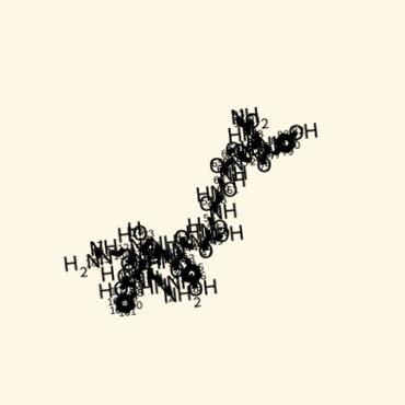 N=C(N)NCCC[C@H](NC(=O)[C@H](CCCNC(=N)N)NC(=O)[C@H](CO)NC(=O)CNC(=O)[C@H](Cc1ccc(O)cc1)NC(=O)CNC(=O)[C@H](CO)NC(=O)CNC(=O)CNC(=O)CNC(=O)[C@H](CO)NC(=O)CNC(=O)[C@H](Cc1ccc(O)cc1)NC(=O)CNC(=O)CN)C(=O)N[C@@H](Cc1ccccc1)C(=O)O